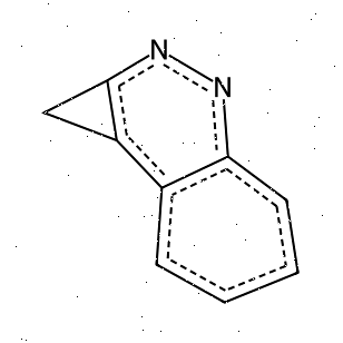 c1ccc2c3c(nnc2c1)C3